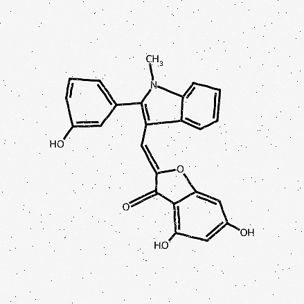 Cn1c(-c2cccc(O)c2)c(/C=C2\Oc3cc(O)cc(O)c3C2=O)c2ccccc21